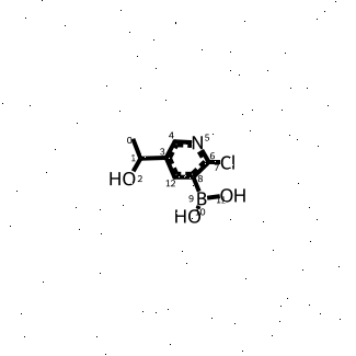 CC(O)c1cnc(Cl)c(B(O)O)c1